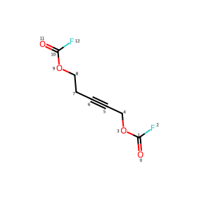 O=C(F)OCC#CCCOC(=O)F